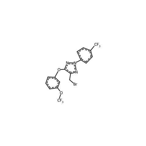 FC(F)(F)Oc1cccc(Oc2nn(-c3ccc(C(F)(F)F)cc3)nc2CBr)c1